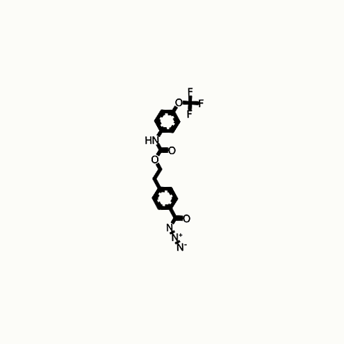 [N-]=[N+]=NC(=O)c1ccc(CCOC(=O)Nc2ccc(OC(F)(F)F)cc2)cc1